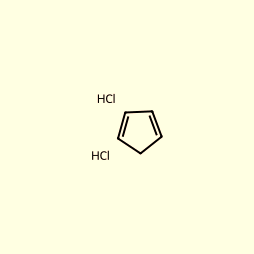 C1=CCC=C1.Cl.Cl